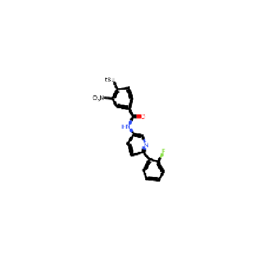 CC(C)(C)c1ccc(C(=O)Nc2ccc(-c3ccccc3F)nc2)cc1[N+](=O)[O-]